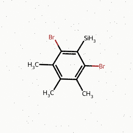 Cc1c(C)c(Br)c([SiH3])c(Br)c1C